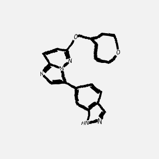 c1cc2cn[nH]c2cc1-c1cnc2ccc(OC3CCOCC3)nn12